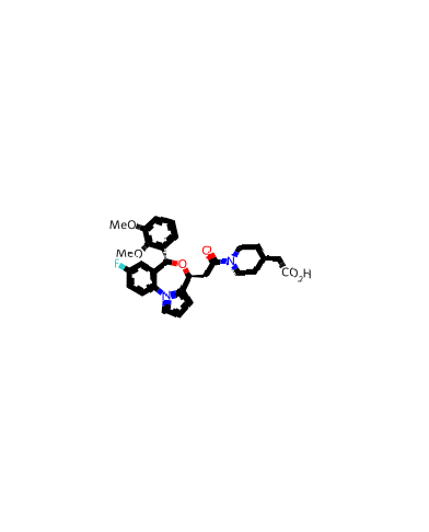 COc1cccc([C@@H]2O[C@@H](CC(=O)N3CCC(CC(=O)O)CC3)c3cccn3-c3ccc(F)cc32)c1OC